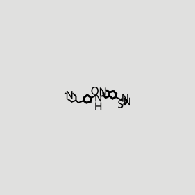 CN1CCC(Cc2ccc(C(=O)Nc3cc4cc(-c5nncs5)ccc4cn3)cc2)CC1